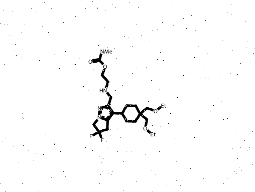 CCOCC1(COCC)CCC(c2c(CNCCOC(=O)NC)nn3c2CC(F)(F)C3)CC1